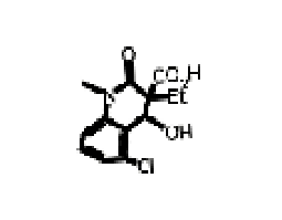 CCC1(C(=O)O)C(=O)N(C)c2cccc(Cl)c2C1O